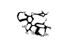 Nc1c(-c2cc(F)c(F)c3[nH]ncc23)c2cc(OC3CC(F)C3)c3ncccc3c2[nH]c1=O